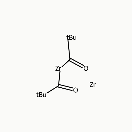 CC(C)(C)[C](=O)[Zr][C](=O)C(C)(C)C.[Zr]